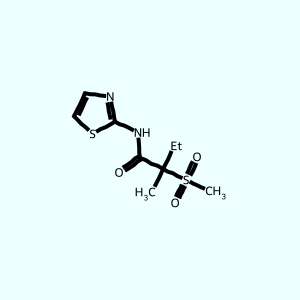 CCC(C)(C(=O)Nc1nccs1)S(C)(=O)=O